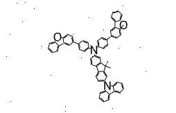 CC1(C)c2cc(N(c3ccc(-c4ccc5oc6ccccc6c5c4)cc3)c3ccc(-c4ccc5oc6ccccc6c5c4)cc3)ccc2-c2ccc(-n3c4ccccc4c4ccccc43)cc21